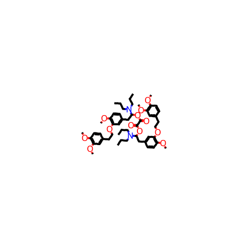 CCCN(CCC)C(Cc1ccc(OC)c(OCCc2ccc(OC)c(OC)c2)c1)OC(=O)C(=O)OC(Cc1ccc(OC)c(OCCc2ccc(OC)c(OC)c2)c1)N(CCC)CCC